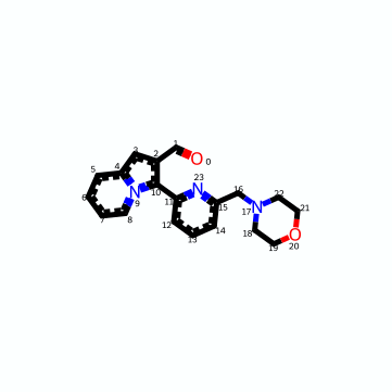 O=Cc1cc2ccccn2c1-c1cccc(CN2CCOCC2)n1